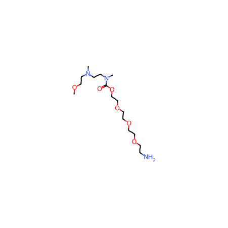 COCCN(C)CCN(C)C(=O)OCCOCCOCCOCCN